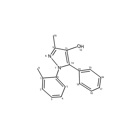 Cc1ccccc1-n1nc(C)c(O)c1-c1ccccc1